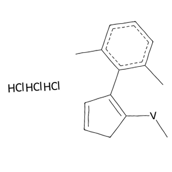 Cl.Cl.Cl.[CH3][V][C]1=C(c2c(C)cccc2C)C=CC1